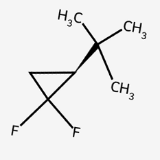 CC(C)(C)[C@@H]1CC1(F)F